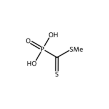 CSC(=S)P(=O)(O)O